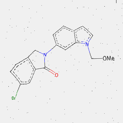 COCn1ccc2ccc(N3Cc4ccc(Br)cc4C3=O)cc21